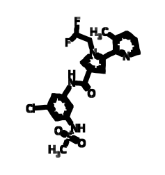 Cc1cccnc1-c1cc(C(=O)Nc2cc(Cl)cc(NS(C)(=O)=O)c2)cn1CC(F)F